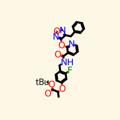 CC(Oc1ccc(CNC(=O)c2cccnc2Oc2nonc2Cc2ccccc2)c(F)c1)C(=O)OC(C)(C)C